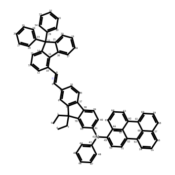 CCC1(CC)c2cc(/C=C/c3cccc4c3-c3ccccc3C4(c3ccccc3)c3ccccc3)ccc2-c2ccc(N(c3ccccc3)c3ccc4c5cccc6cccc(c7cccc3c74)c65)cc21